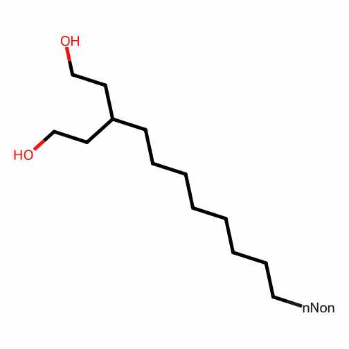 CCCCCCCCCCCCCCCCCC(CCO)CCO